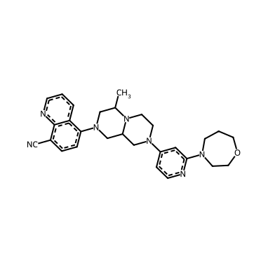 CC1CN(c2ccc(C#N)c3ncccc23)CC2CN(c3ccnc(N4CCCOCC4)c3)CCN12